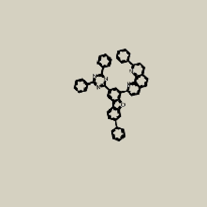 c1ccc(-c2ccc3c(c2)oc2c(-c4ccc5ccc6ccc(-c7ccccc7)nc6c5n4)cc(-c4nc(-c5ccccc5)nc(-c5ccccc5)n4)cc23)cc1